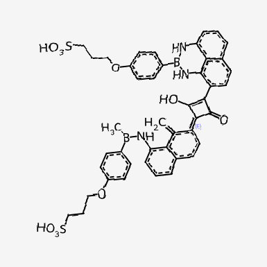 C=c1/c(=C2/C(=O)C(c3ccc4cccc5c4c3NB(c3ccc(OCCCS(=O)(=O)O)cc3)N5)=C2O)ccc2cccc(NB(C)c3ccc(OCCCS(=O)(=O)O)cc3)c12